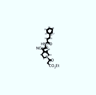 CCOC(=O)CC(=O)N1CCc2c(sc(NC(=O)/C=C/c3ccccc3)c2C#N)C1